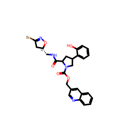 O=C(NC[C@@H]1CC(Br)=NO1)C1CC(c2ccccc2O)CN1C(=O)OCc1cnc2ccccc2c1